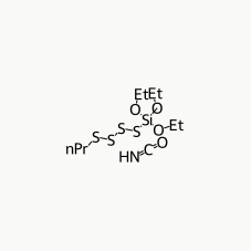 CCCSSSS[Si](OCC)(OCC)OCC.N=C=O